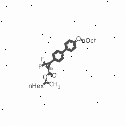 CCCCCCCCOc1ccc(-c2ccc(C3[C@@H](C(=O)OC(C)CCCCCC)C3(F)F)cc2)cc1